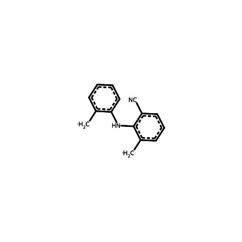 [CH2]c1ccccc1Nc1c([CH2])cccc1C#N